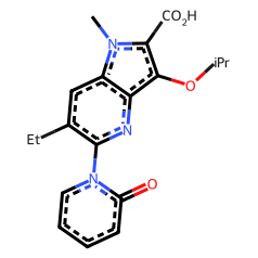 CCc1cc2c(nc1-n1ccccc1=O)c(OC(C)C)c(C(=O)O)n2C